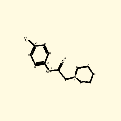 O=C(CN1CC[CH]CC1)Nc1ccc(Cl)cc1